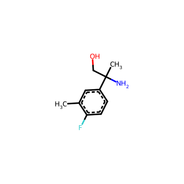 Cc1cc(C(C)(N)CO)ccc1F